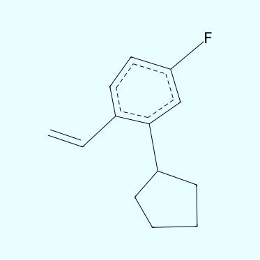 C=Cc1ccc(F)cc1C1CCCC1